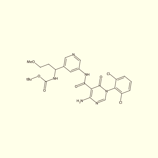 COCCC(NC(=O)OC(C)(C)C)c1cncc(NC(=O)c2c(N)ncn(-c3c(Cl)cccc3Cl)c2=O)c1